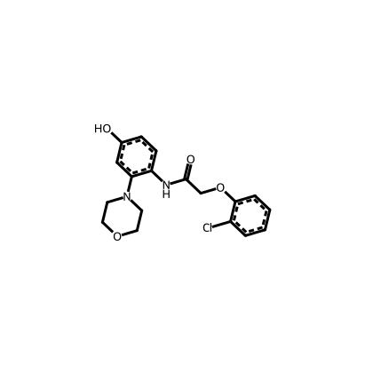 O=C(COc1ccccc1Cl)Nc1ccc(O)cc1N1CCOCC1